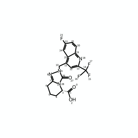 O=C(O)[C@@H]1CCCc2nn(Cc3cc(C(F)(F)F)nc4ccc(F)cc34)c(=O)n21